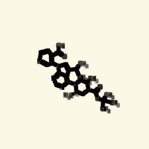 CC(C)c1cn(-c2cnccc2C(=O)O)c2ncnc(N3C[C@@H](C)N(C(=O)OC(C)(C)C)C[C@@H]3C)c12